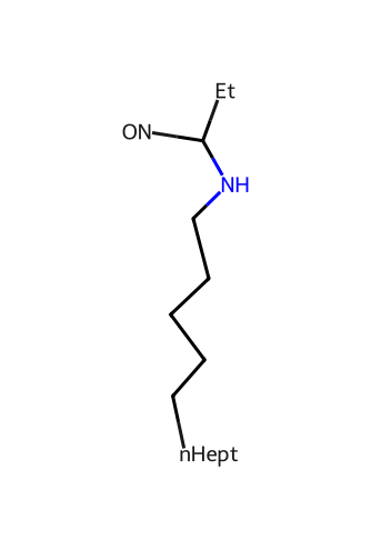 CCCCCCCCCCCCNC(CC)N=O